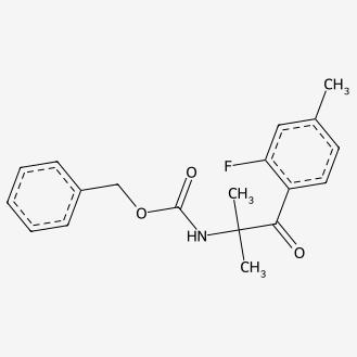 Cc1ccc(C(=O)C(C)(C)NC(=O)OCc2ccccc2)c(F)c1